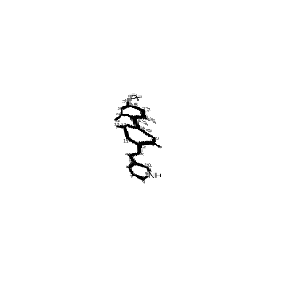 CC1=C(CCC2CC=CNC2)CC(C)C(C2CCC(C(C)C)=CC2C)C1